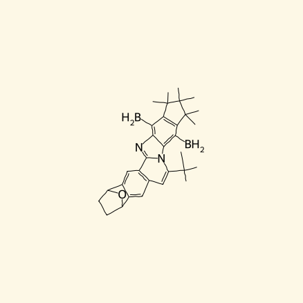 Bc1c2c(c(B)c3c1nc1c4cc5c(cc4cc(C(C)(C)C)n13)C1CCC5O1)C(C)(C)C(C)(C)C2(C)C